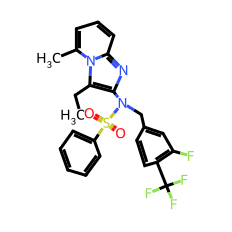 CCc1c(N(Cc2ccc(C(F)(F)F)c(F)c2)S(=O)(=O)c2ccccc2)nc2cccc(C)n12